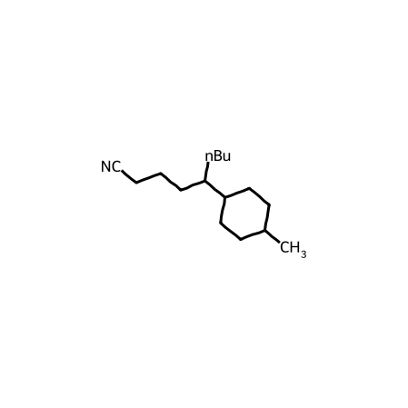 CCCCC(CCCC#N)C1CCC(C)CC1